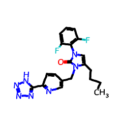 CCCCc1cn(-c2c(F)cccc2F)c(=O)n1Cc1ccc(-c2nnn[nH]2)nc1